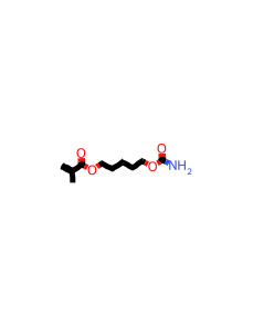 C=C(C)C(=O)OCC[CH]CCOC(N)=O